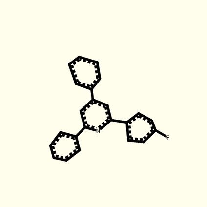 Fc1ccc(-c2cc(-c3ccccc3)cc(-c3ccccc3)n2)cc1